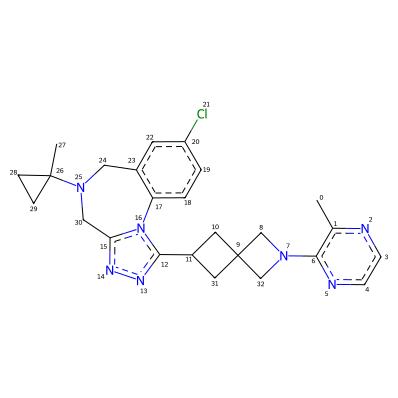 Cc1nccnc1N1CC2(CC(c3nnc4n3-c3ccc(Cl)cc3CN(C3(C)CC3)C4)C2)C1